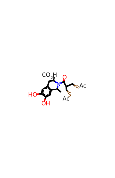 CC(=O)SCC(CSC(C)=O)C(=O)N1C(C(=O)O)Cc2cc(O)c(O)cc2C1C